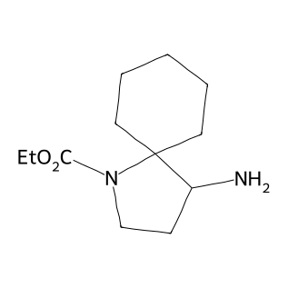 CCOC(=O)N1CCC(N)C12CCCCC2